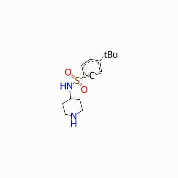 CC(C)(C)c1ccc(S(=O)(=O)NC2CCNCC2)cc1